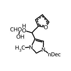 CCCCCCCCCCN1C=C(C(O)c2ccco2)N(C)C1.O=CO